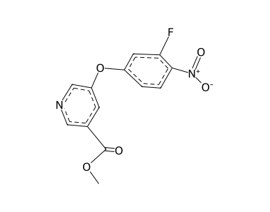 COC(=O)c1cncc(Oc2ccc([N+](=O)[O-])c(F)c2)c1